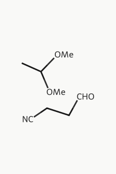 COC(C)OC.N#CCCC=O